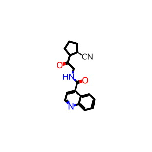 N#C[C@@H]1CCCC1C(=O)CNC(=O)c1ccnc2ccccc12